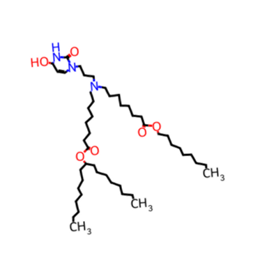 CCCCCCCCCOC(=O)CCCCCCCN(CCCCCCCC(=O)OC(CCCCCCCC)CCCCCCCC)CCCN1C=CC(O)NC1=O